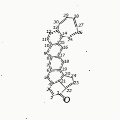 O=C1C=Cc2cc3cc4cc5ccc6c(c5cc4cc3c3c2C1=CC3)C=CC=CC=C6